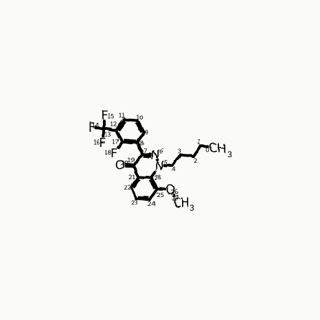 CCCCCn1nc(-c2cccc(C(F)(F)F)c2F)c(=O)c2cccc(OC)c21